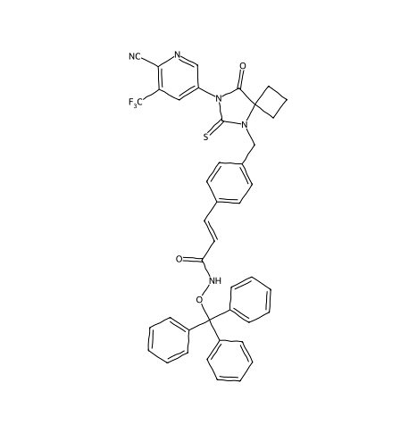 N#Cc1ncc(N2C(=O)C3(CCC3)N(Cc3ccc(/C=C/C(=O)NOC(c4ccccc4)(c4ccccc4)c4ccccc4)cc3)C2=S)cc1C(F)(F)F